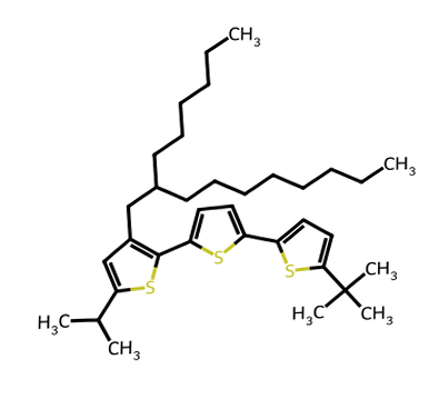 CCCCCCCCC(CCCCCC)Cc1cc(C(C)C)sc1-c1ccc(-c2ccc(C(C)(C)C)s2)s1